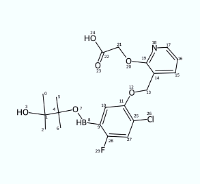 CC(C)(O)C(C)(C)OBc1cc(OCc2cccnc2OCC(=O)O)c(Cl)cc1F